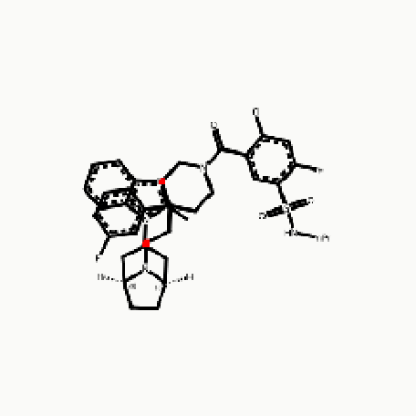 CCCNS(=O)(=O)c1cc(C(=O)N2CCC(CCN3[C@@H]4CC[C@H]3CC(n3c(C)nc5ccccc53)C4)(c3cccc(F)c3)CC2)c(Cl)cc1F